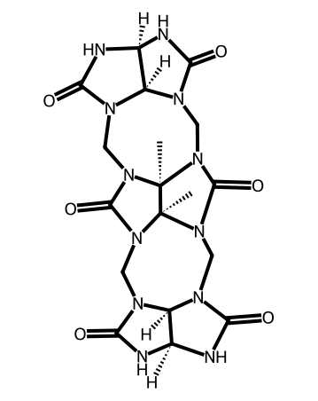 C[C@]12N3CN4C(=O)N[C@H]5NC(=O)N(CN1C(=O)N1CN6C(=O)N[C@H]7NC(=O)N(CN(C3=O)[C@]12C)[C@H]76)[C@H]54